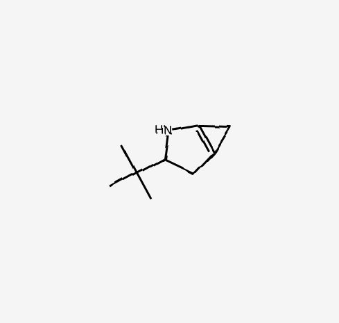 CC(C)(C)C1CC2=C(C2)N1